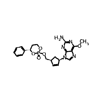 COc1nc(N)nc2c1ncn2[C@H]1C=C[C@@H](COP2(=O)OCC[C@@H](c3ccccc3)O2)C1